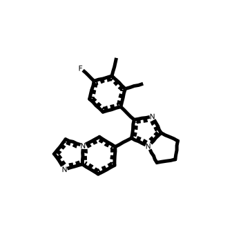 Cc1c(F)ccc(-c2nc3n(c2-c2ccc4nccn4c2)CCC3)c1C